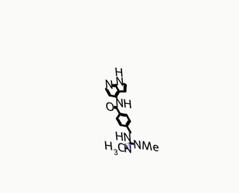 C/N=C(/NC)NCc1ccc(C(=O)Nc2ccnc3[nH]ccc23)cc1